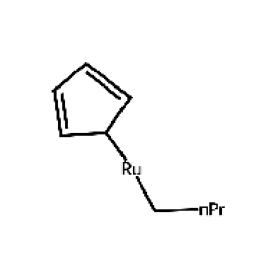 CCC[CH2][Ru][CH]1C=CC=C1